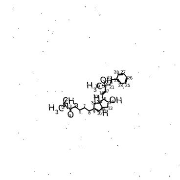 CN(C)C(=O)CCCCC1=C[C@H]2C[C@@H](O)[C@H](/C=C/[C@](C)(O)CCc3ccccc3)[C@H]2C1